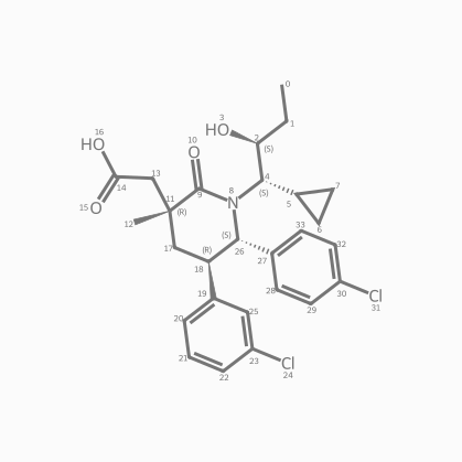 CC[C@H](O)[C@H](C1CC1)N1C(=O)[C@@](C)(CC(=O)O)C[C@H](c2cccc(Cl)c2)[C@H]1c1ccc(Cl)cc1